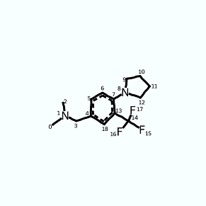 CN(C)Cc1ccc(N2CCCC2)c(C(F)(F)F)c1